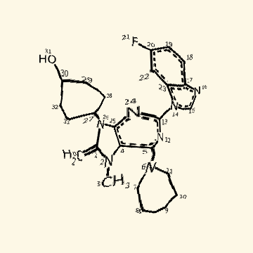 C=C1N(C)c2c(N3CCCCC3)nc(-n3cnc4ccc(F)cc43)nc2N1C1CCC(O)CC1